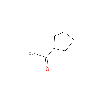 CCC(=O)C1CCCC1